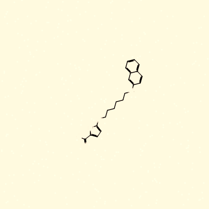 CC(=O)c1ccc(OCCCCCCOc2ccc3ccccc3c2)o1